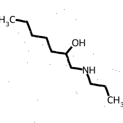 CCCCCC(O)CNCCC